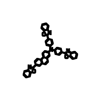 c1ccc2oc(-c3ccc(N(c4ccc(-c5nc6ccccc6o5)cc4)c4ccc5c(ccc6cc(-c7nc8ccccc8o7)ccc65)c4)cc3)nc2c1